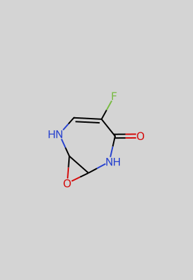 O=C1NC2OC2NC=C1F